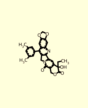 CCC1(O)C(=O)OCc2c1cc1n(c2=O)Cc2c-1nc1cc3c(cc1c2-c1cc(C)cc(C)c1)OCO3